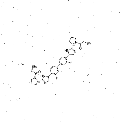 CC(C)CC(=O)N1CCC[C@H]1c1ncc(-c2ccc(-c3ccc(-c4cnc([C@@H]5CCCN5C(=O)OC(C)(C)C)[nH]4)c(F)c3)cc2F)[nH]1